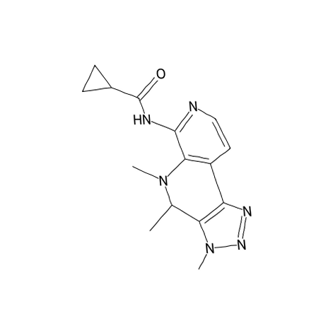 CC1c2c(nnn2C)-c2ccnc(NC(=O)C3CC3)c2N1C